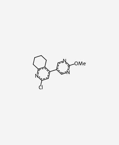 COc1ncc(-c2cc(Cl)nc3c2CCCC3)cn1